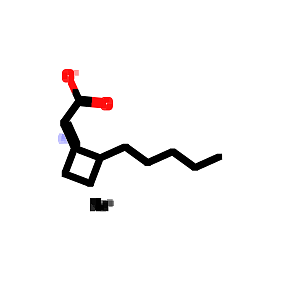 CCCCCC1CC/C1=C/C(=O)[O-].[Na+]